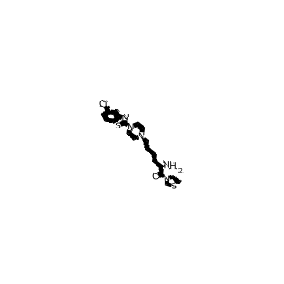 N[C@@H](CCCCN1CCN(c2nc3cc(Cl)ccc3s2)CC1)C(=O)N1CCSC1